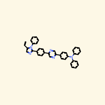 C=Cc1cnc(-c2ccc(-c3cnc(-c4ccc(N(c5ccccc5)c5ccccc5)cc4)cn3)cc2)n1-c1ccccc1